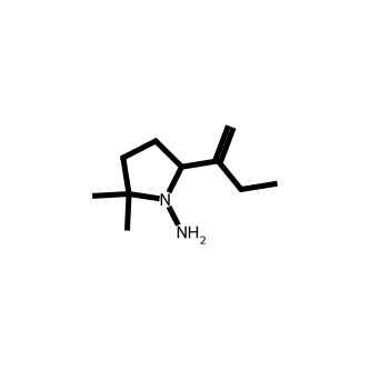 C=C(CC)C1CCC(C)(C)N1N